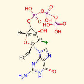 C#C[C@@]1(n2cnc3c(=O)[nH]c(N)nc32)O[C@@H]2C(OP(=O)(O)OP(=O)(O)OP(=O)(O)O)[C@]2(O)[C@H]1F